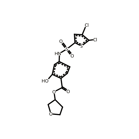 O=C(OC1CCOC1)c1ccc(NS(=O)(=O)c2cc(Cl)c(Cl)s2)cc1O